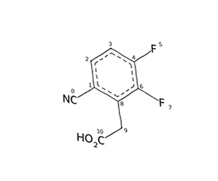 N#Cc1ccc(F)c(F)c1CC(=O)O